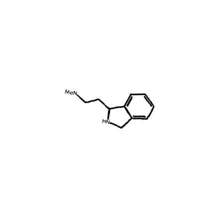 CNCCC1NCc2ccccc21